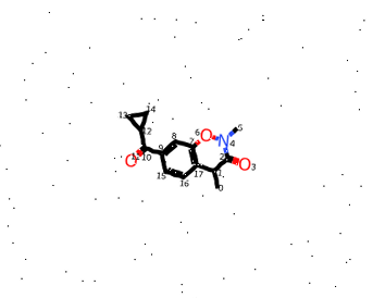 CC1C(=O)N(C)Oc2cc(C(=O)C3CC3)ccc21